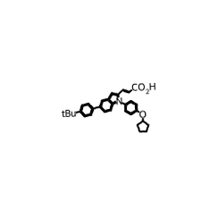 CC(C)(C)c1ccc(-c2ccc3c(c2)cc(C=CC(=O)O)n3-c2ccc(OC3CCCC3)cc2)cc1